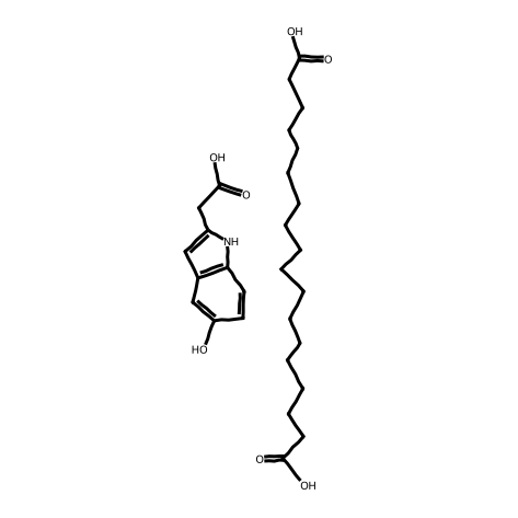 O=C(O)CCCCCCCCCCCCCCCCC(=O)O.O=C(O)Cc1cc2cc(O)ccc2[nH]1